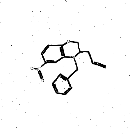 C=CCC1COc2ccc([N+](=O)[O-])cc2N1Cc1ccccc1